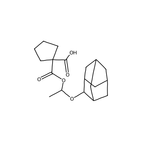 CC(OC(=O)C1(C(=O)O)CCCC1)OC1C2CC3CC(C2)CC1C3